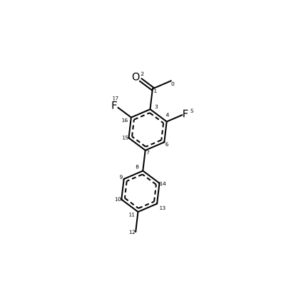 CC(=O)c1c(F)cc(-c2ccc(C)cc2)cc1F